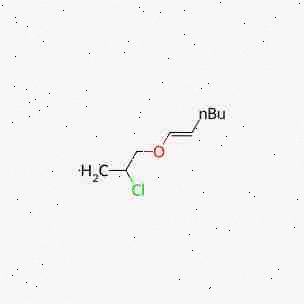 [CH2]C(Cl)COC=CCCCC